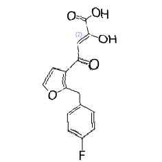 O=C(O)/C(O)=C/C(=O)c1ccoc1Cc1ccc(F)cc1